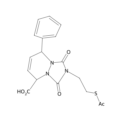 CC(=O)SCCn1c(=O)n2n(c1=O)C(c1ccccc1)C=CC2C(=O)O